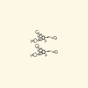 COc1cc2c(NC3CCN(C(C)C)CC3)nc(N3CCCCC3)nc2cc1C#CCCN1CCCC1.COc1cc2c(NC3CCN(C(C)C)CC3)nc(N3CCCCC3)nc2cc1C#CCCN1CCCC1